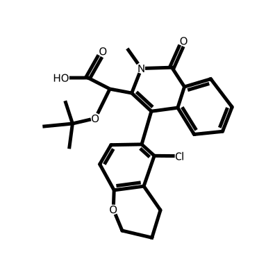 Cn1c(C(OC(C)(C)C)C(=O)O)c(-c2ccc3c(c2Cl)CCCO3)c2ccccc2c1=O